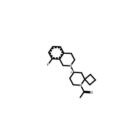 CC(=O)N1CC[C@@H](N2CCc3cccc(F)c3C2)CC12CCC2